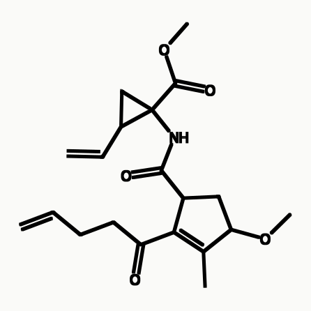 C=CCCC(=O)C1=C(C)C(OC)CC1C(=O)NC1(C(=O)OC)CC1C=C